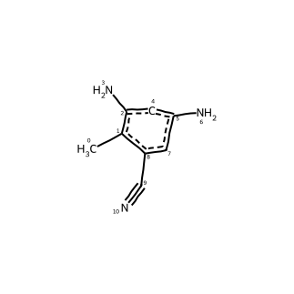 Cc1c(N)cc(N)cc1C#N